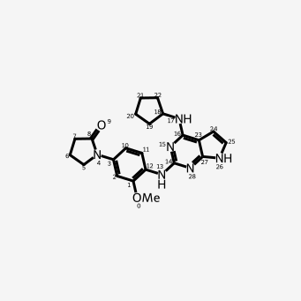 COc1cc(N2CCCC2=O)ccc1Nc1nc(NC2CCCC2)c2cc[nH]c2n1